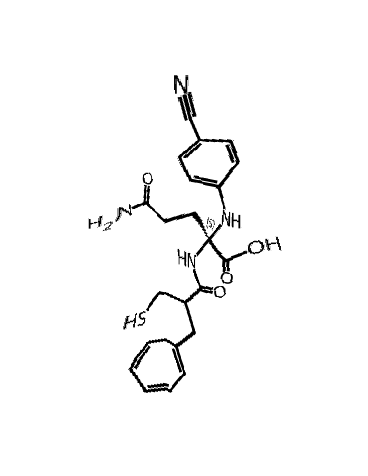 N#Cc1ccc(N[C@@](CCC(N)=O)(NC(=O)C(CS)Cc2ccccc2)C(=O)O)cc1